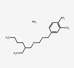 CCCCC(CC)COCCCc1ccc(N)c(C)c1.N